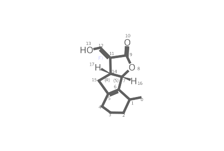 CC1CCCC2=C1[C@H]1OC(=O)/C(=C/O)[C@H]1C2